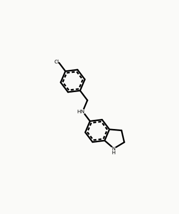 Clc1ccc(CNc2ccc3c(c2)CCN3)cc1